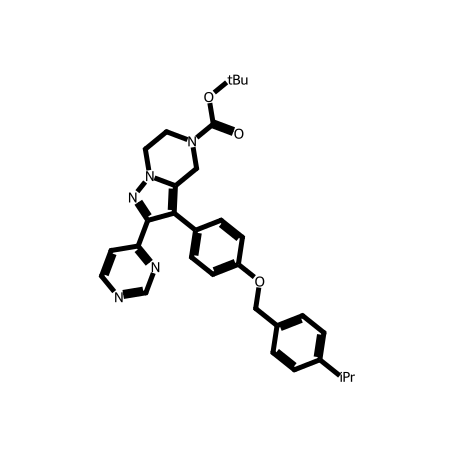 CC(C)c1ccc(COc2ccc(-c3c(-c4ccncn4)nn4c3CN(C(=O)OC(C)(C)C)CC4)cc2)cc1